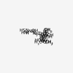 CO[Si]1(CCCOCC(O)CNc2n[nH]c(S)n2)O[Si]2(O[Si](C)(O)O[Si](OC)(OC)O2)O[Si]2(O[Si](O)(O)O[Si](OC)(OC)O2)O1